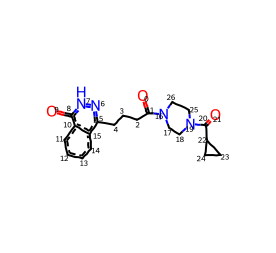 O=C(CCCc1n[nH]c(=O)c2ccccc12)N1CCN(C(=O)C2CC2)CC1